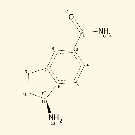 NC(=O)c1ccc2c(c1)CC[C@@H]2N